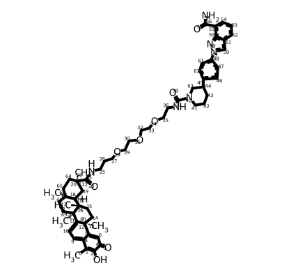 CC1=C(O)C(=O)C=C2C1=CC=C1[C@@]2(C)CC[C@@]2(C)[C@@H]3C[C@](C)(C(=O)NCCCOCCOCCOCCNC(=O)N4CCCC(c5ccc(-n6cc7cccc(C(N)=O)c7n6)cc5)C4)CC[C@]3(C)CC[C@]12C